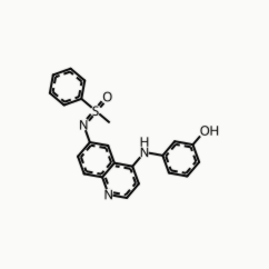 CS(=O)(=Nc1ccc2nccc(Nc3cccc(O)c3)c2c1)c1ccccc1